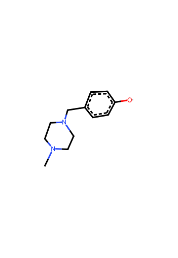 CN1CCN(Cc2ccc([O])cc2)CC1